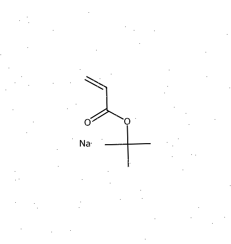 C=CC(=O)OC(C)(C)C.[Na]